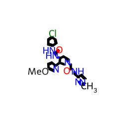 COc1ccc(C2CN(CC(=O)NCc3ccn(C)n3)CCC2NC(=O)Nc2ccc(Cl)cc2)nc1